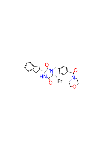 CC(C)C[C@@H]1C(=O)N[C@H](C2Cc3ccccc3C2)C(=O)N1Cc1ccc(C(=O)N2CCOCC2)cc1